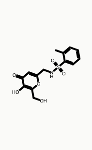 Cc1ccccc1S(=O)(=O)NCc1cc(=O)c(O)c(CO)o1